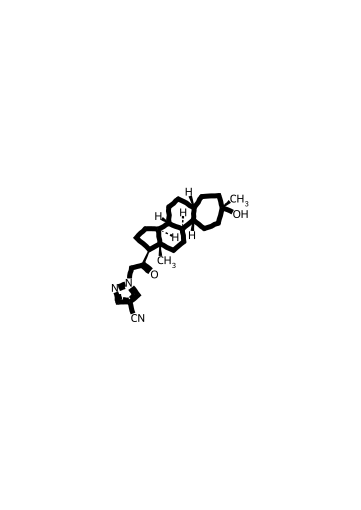 C[C@]1(O)CC[C@H]2CC[C@@H]3[C@H](CC[C@]4(C)[C@@H](C(=O)Cn5cc(C#N)cn5)CC[C@@H]34)[C@H]2CC1